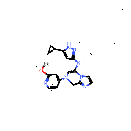 CCOc1cc(N2C=C(Nc3cc(C4CC4)[nH]n3)[N+]3C=CN=C3C2)ccn1